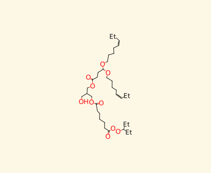 CC/C=C\CCCCOC(CCC(=O)OCC(CO)COC(=O)CCCCCC(=O)OOC(CC)CC)OCCCC/C=C\CC